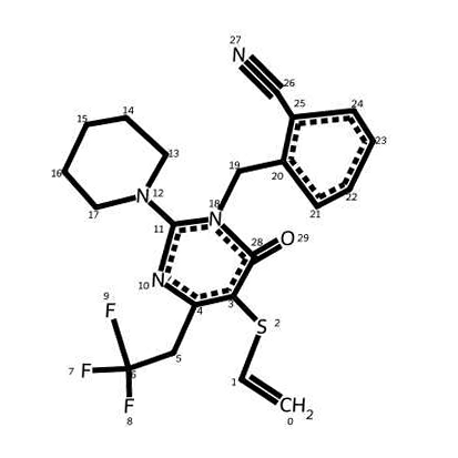 C=CSc1c(CC(F)(F)F)nc(N2CCCCC2)n(Cc2ccccc2C#N)c1=O